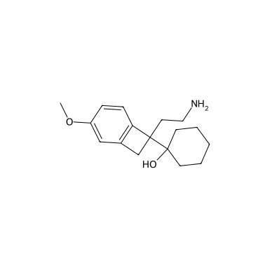 COc1ccc2c(c1)CC2(CCN)C1(O)CCCCC1